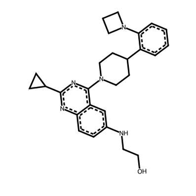 OCCNc1ccc2nc(C3CC3)nc(N3CCC(c4ccccc4N4CCC4)CC3)c2c1